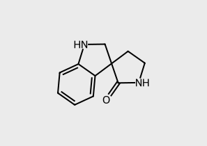 O=C1NCCC12CNc1ccccc12